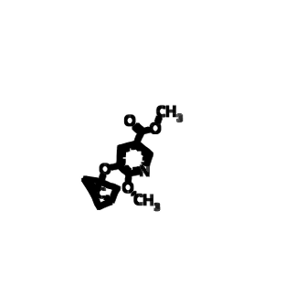 COC(=O)c1cnc(OC)c(OC23CC4CC2C3C4)c1